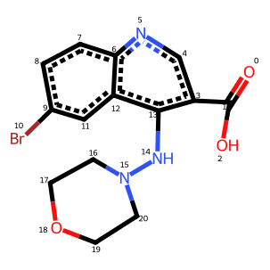 O=C(O)c1cnc2ccc(Br)cc2c1NN1CCOCC1